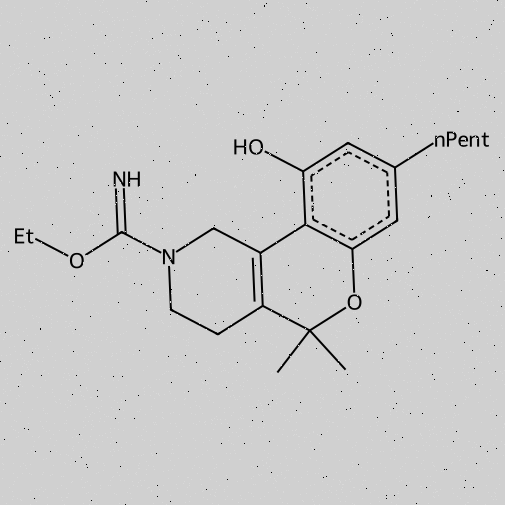 CCCCCc1cc(O)c2c(c1)OC(C)(C)C1=C2CN(C(=N)OCC)CC1